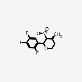 C=C1CCOC(c2cc(F)c(F)cc2F)C1[N+](=O)[O-]